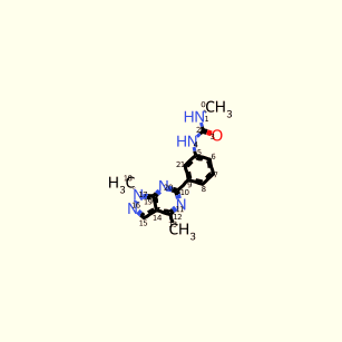 CNC(=O)Nc1cccc(-c2nc(C)c3cnn(C)c3n2)c1